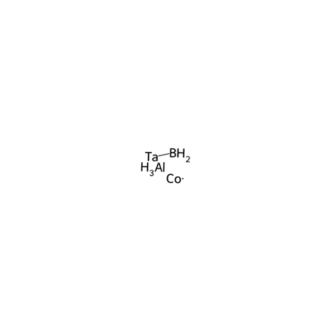 [AlH3].[BH2][Ta].[Co]